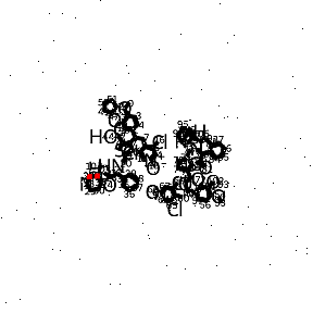 COc1ccc(C(Cc2c(Cl)c[n+]([O-])cc2Cl)c2cc(CNC(C(=O)O[C@H]3CN4CCC3CC4)c3ccccc3)sc2C(=O)O)cc1OC1CCCC1.COc1ccc([C@H](Cc2c(Cl)c[n+]([O-])cc2Cl)OC(=O)c2ccc(CN3C(C(=O)O)c4ccccc4CC3[C@H]3CN4CCC3CC4)s2)cc1OC